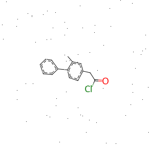 Cc1cc(CC(=O)Cl)ccc1-c1ccccc1